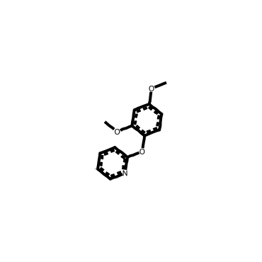 COc1ccc(Oc2cc[c]cn2)c(OC)c1